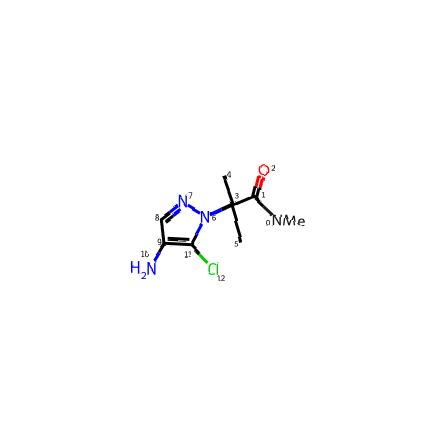 CNC(=O)C(C)(C)n1ncc(N)c1Cl